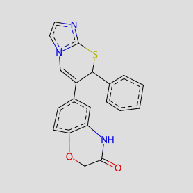 O=C1COc2ccc(C3=Cn4ccnc4SC3c3ccccc3)cc2N1